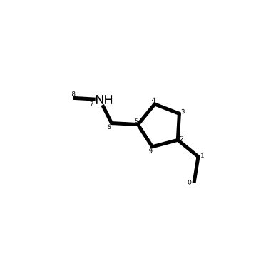 CCC1CCC(CNC)C1